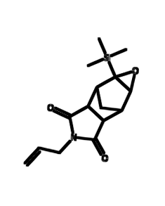 C=CCN1C(=O)C2C3CC(C2C1=O)C1([Si](C)(C)C)OC31